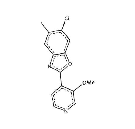 COc1cnccc1-c1nc2cc(C)c(Cl)cc2o1